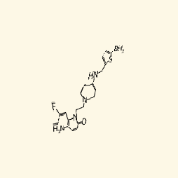 Bc1ccc(CNC2CCN(CCn3c(/C=C(/F)C=C)c(N)ccc3=O)CC2)s1